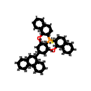 S=P12c3ccc4ccccc4c3Oc3cc(-c4cc5ccccc5c5ccccc45)cc(c31)Oc1c2ccc2ccccc12